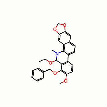 CCOC1c2c(ccc(OC)c2OCc2ccccc2)-c2ccc3cc4c(cc3c2N1C)OCO4